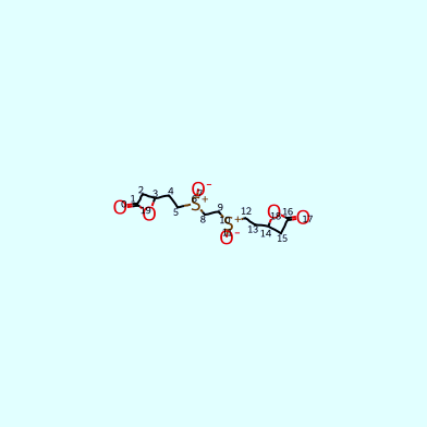 O=C1CC(CC[S+]([O-])CC[S+]([O-])CCC2CC(=O)O2)O1